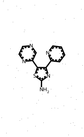 Nc1nc(-c2ccccn2)c(-c2cnccn2)s1